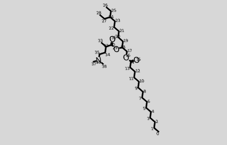 CCCCCCCCCCCCCCC(=O)OCC(CCCCCC(CC)CC)OC(=O)C(C)CCN(C)C